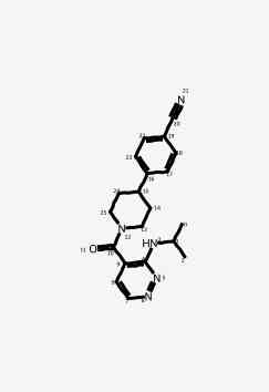 CC(C)Nc1nnccc1C(=O)N1CCC(c2ccc(C#N)cc2)CC1